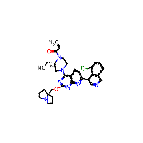 C=CC(=O)N1CCN(c2nc(OCC34CCCN3CCC4)nc3nc(-c4cncc5cccc(Cl)c45)ccc23)C[C@@H]1CC#N